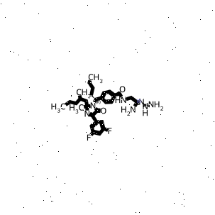 CCCC[C@H](c1ccc(C(=O)NC/C(N)=N/NN)cc1)N1C(=O)C(c2cc(F)cc(F)c2)=NC1(C)CC(C)CCC